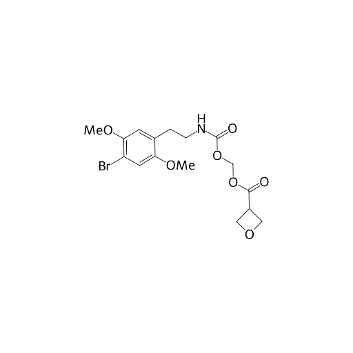 COc1cc(CCNC(=O)OCOC(=O)C2COC2)c(OC)cc1Br